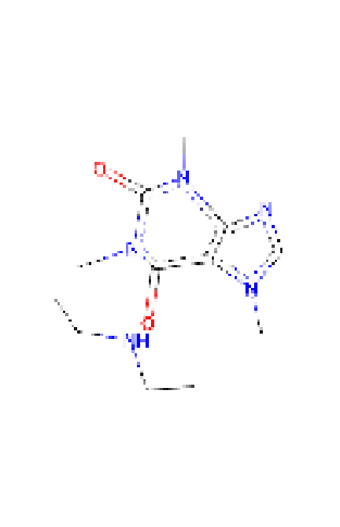 CCNCC.Cn1c(=O)c2c(ncn2C)n(C)c1=O